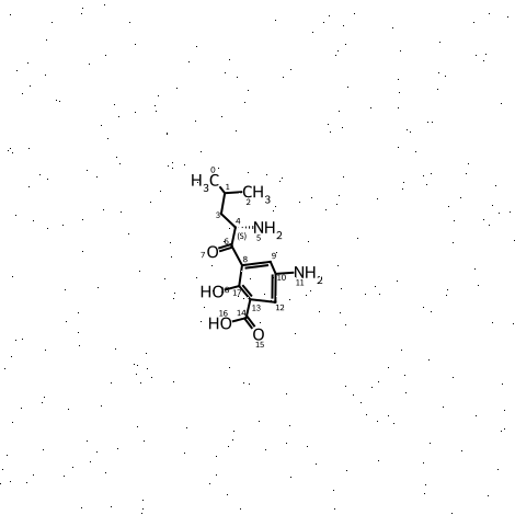 CC(C)C[C@H](N)C(=O)c1cc(N)cc(C(=O)O)c1O